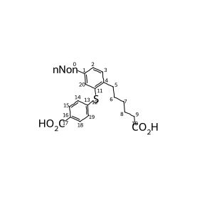 CCCCCCCCCc1ccc(CCCCCC(=O)O)c(Sc2ccc(C(=O)O)cc2)c1